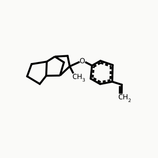 C=Cc1ccc(OC2(C)CC3CC2C2CCCC32)cc1